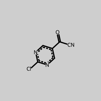 N#CC(=O)c1cnc(Cl)nc1